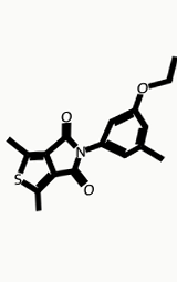 CCOc1cc(C)cc(N2C(=O)c3c(C)sc(C)c3C2=O)c1